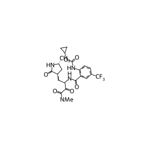 CNC(=O)C(=O)C(C[C@@H]1C[C@@H](C)NC1=O)NC(=O)c1cc(C(F)(F)F)ccc1NC(=O)OC1CC1